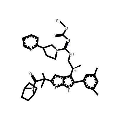 Cc1cc(C)cc(-c2[nH]c3sc(C(C)(C)C(=O)N4C5CCC4CC5)cc3c2[C@H](C)CN/C(=N/C(=O)OC(C)C)N2CCC(c3ccccn3)C2)c1